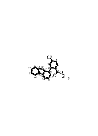 COC(=O)c1ccc(Cl)cc1-c1cccc2c1sc1ccccc12